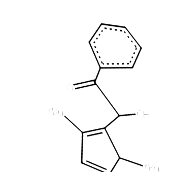 CC(C(=O)c1ccccc1)C1=C(C(C)(C)C)C=CC1C(C)(C)C